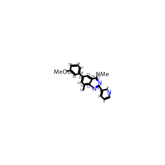 CNc1nc(-c2cccnc2)nc2c(C)cc(-c3cccc(OC)c3)cc12